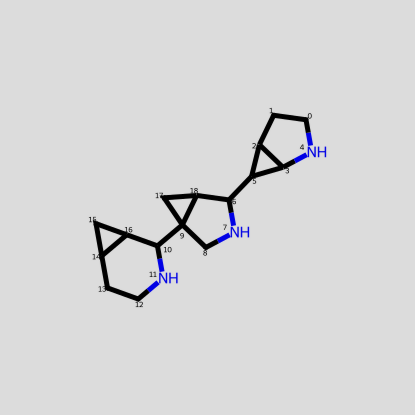 C1CC2C(N1)C2C1NCC2(C3NCCC4CC43)CC12